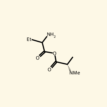 CCC(N)C(=O)OC(=O)[C@H](C)NC